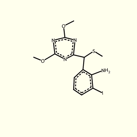 COc1nc(OC)nc(C(SC)c2cccc(I)c2N)n1